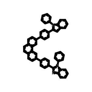 c1ccc(-n2c(-c3ccc(-c4ccc5ccc6ccc(-c7ccc(-c8nc9ccccc9n8-c8ccccc8)cc7)cc6c5c4)cc3)cc3ccccc32)cc1